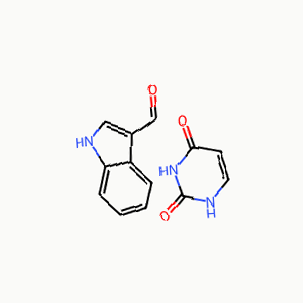 O=Cc1c[nH]c2ccccc12.O=c1cc[nH]c(=O)[nH]1